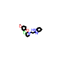 COc1ccc(OC2C=CC=CN2CCc2nc3ccccc3[nH]2)c(Cl)c1